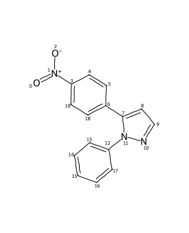 O=[N+]([O-])c1ccc(-c2ccnn2-c2ccccc2)cc1